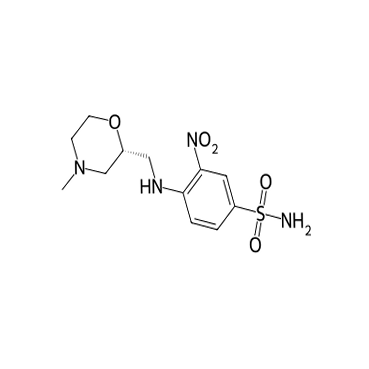 CN1CCO[C@H](CNc2ccc(S(N)(=O)=O)cc2[N+](=O)[O-])C1